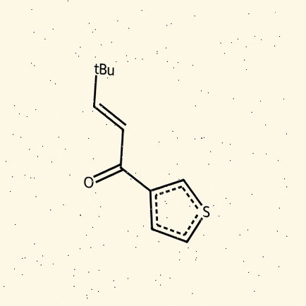 CC(C)(C)C=CC(=O)c1ccsc1